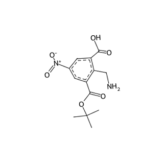 CC(C)(C)OC(=O)c1cc([N+](=O)[O-])cc(C(=O)O)c1CN